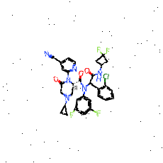 N#Cc1ccnc(N2C(=O)CN(C3CC3)C[C@H]2C(=O)N(c2cc(F)cc(F)c2)C(C(=O)NC2CC(F)(F)C2)c2ccccc2Cl)c1